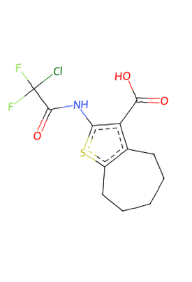 O=C(O)c1c(NC(=O)C(F)(F)Cl)sc2c1CCCCC2